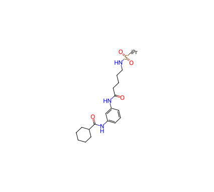 CC(C)S(=O)(=O)NCCCCC(=O)Nc1cccc(NC(=O)C2CCCCC2)c1